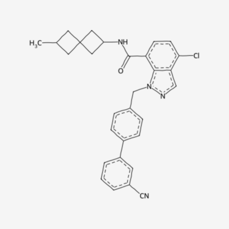 CC1CC2(C1)CC(NC(=O)c1ccc(Cl)c3cnn(Cc4ccc(-c5cccc(C#N)c5)cc4)c13)C2